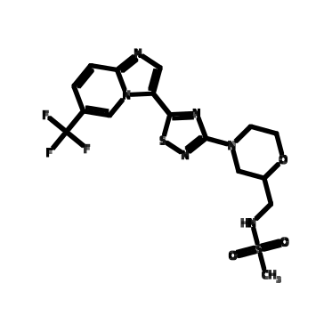 CS(=O)(=O)NCC1CN(c2nsc(-c3cnc4ccc(C(F)(F)F)cn34)n2)CCO1